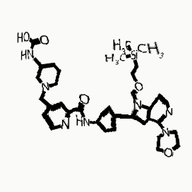 C[Si](C)(C)CCOCn1c(-c2ccc(NC(=O)c3cc(CN4CCCC(NC(=O)O)C4)ccn3)cc2)cc2c(N3CCOCC3)nccc21